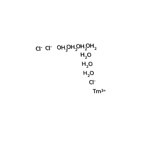 O.O.O.O.O.O.O.[Cl-].[Cl-].[Cl-].[Tm+3]